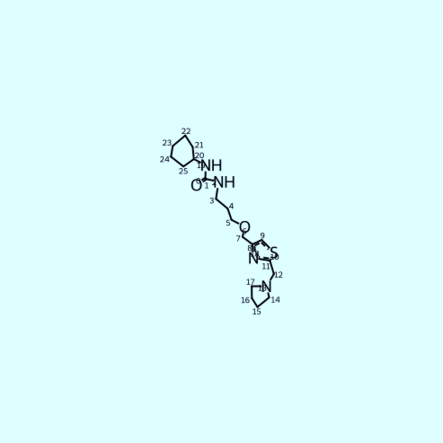 O=C(NCCCOCc1csc(CN2CCCC2)n1)NC1CCCCC1